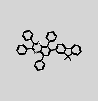 CC1(C)c2ccccc2-c2ccc(-c3cc(-c4ccccc4)c4nc(-c5ccccc5)c(-c5ccccc5)nc4c3-c3ccccc3)cc21